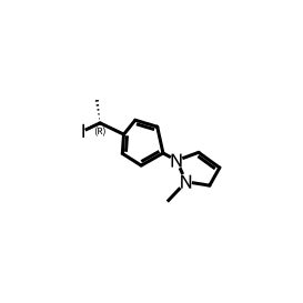 C[C@@H](I)c1ccc(N2C=CCN2C)cc1